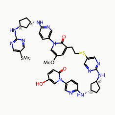 COc1cc(CCSc2cnc(N[C@H]3CC[C@H](Nc4ccc(-n5cc(O)ccc5=O)cn4)C3)nc2)c(=O)n(-c2ccc(N[C@H]3CC[C@H](Nc4ncc(SC)cn4)C3)nc2)c1